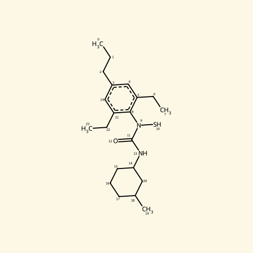 CCCc1cc(CC)c(N(S)C(=O)NC2CCCC(C)C2)c(CC)c1